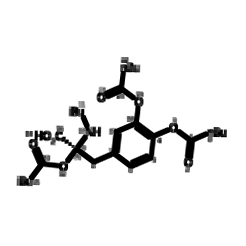 CCCCC(=O)Oc1ccc(C[C@](NC(C)CC)(OC(=O)C(C)CC)C(=O)O)cc1OC(=O)CCCC